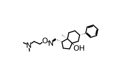 CN(C)CCO/N=C/[C@H]1CC[C@]2(O)C[C@@H](c3ccccc3)CC[C@]12C